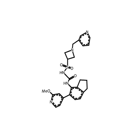 COc1cc(-c2ccc3c(c2NC(=O)NS(=O)(=O)C2CN(Cc4cccnc4)C2)CCC3)ccn1